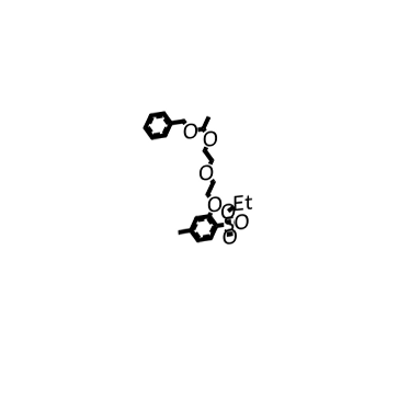 CCOS(=O)(=O)c1ccc(C)cc1OCCOCCOC(C)OCc1ccccc1